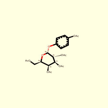 CC(=O)OC[C@H]1O[C@H](Oc2ccc(OC(C)=O)cc2)[C@H](OC(C)=O)[C@@H](OC(C)=O)[C@H]1OC(C)=O